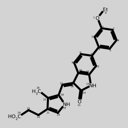 CCOc1cccc(-c2ccc3c(c2)NC(=O)/C3=C\c2[nH]cc(CCC(=O)O)c2C)c1